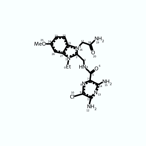 CCn1c(CNC(=O)c2nc(Cl)c(N)nc2N)[n+](CC(N)=O)c2ccc(OC)cc21